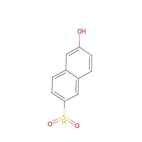 O=[SH](=O)c1ccc2cc(O)ccc2c1